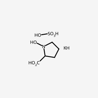 O=C(O)C1CCCN1O.O=S(=O)(O)O.[KH]